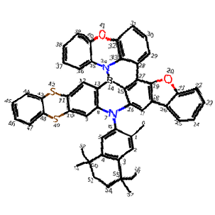 Cc1cc2c(cc1N1c3cc4c(cc3B3c5c1cc1c(oc6ccccc61)c5-c1cccc5c1N3c1ccccc1O5)Sc1ccccc1S4)C(C)(C)CCC2(C)C